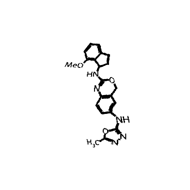 COc1cccc2c1C(NC1=Nc3ccc(Nc4nnc(C)o4)cc3CO1)CC2